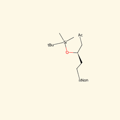 CCCCCCCCCCC[C@H](CC(C)=O)O[Si](C)(C)C(C)(C)C